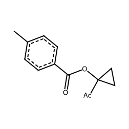 CC(=O)C1(OC(=O)c2ccc(C)cc2)CC1